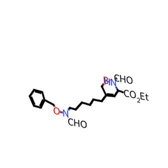 CCOC(=O)C(C=C(CBr)CCCCCCN(C=O)OCc1ccccc1)NC=O